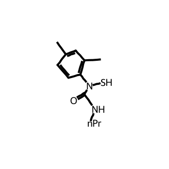 CCCNC(=O)N(S)c1ccc(C)cc1C